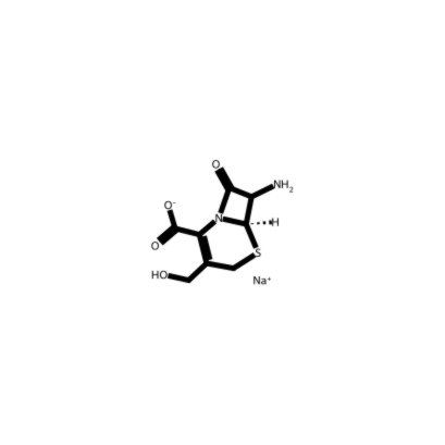 NC1C(=O)N2C(C(=O)[O-])=C(CO)CS[C@H]12.[Na+]